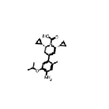 Cc1cc(N)c(OC(C)C)cc1C1=C[C@@H](C2CC2)N(C(=O)O)[C@@H](C2CC2)C1